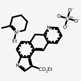 CCOC(=O)C1=c2c(ccc3c2=Cc2cccnc2C3)N=C1.CC[N+]1=C(C)CCCC1.[O-][Cl+3]([O-])([O-])[O-]